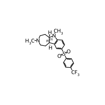 CN1CC[C@@H]2c3cc(S(=O)(=O)c4ccc(C(F)(F)F)cc4)ccc3N(C)[C@H]2CC1